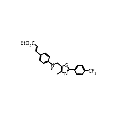 CCOC(=O)/C=C/c1ccc(N(C)Cc2sc(-c3ccc(C(F)(F)F)cc3)nc2C)cc1